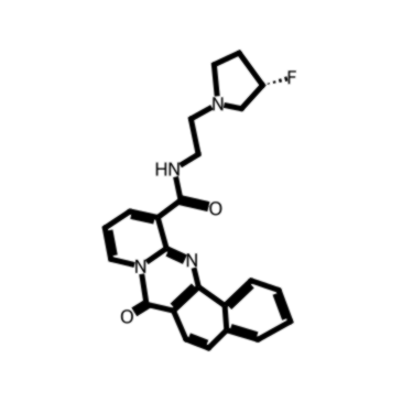 O=C(NCCN1CC[C@H](F)C1)c1cccn2c(=O)c3ccc4ccccc4c3nc12